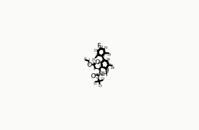 CCOC(=O)C[C@H](N[S@+]([O-])C(C)(C)C)c1cc(-c2c(C)cc(F)cc2C)cc(C)c1F